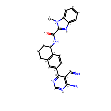 Cn1c(C(=O)NC2CCCc3cc(-c4ncnc(N)c4C=N)ccc32)nc2ccccc21